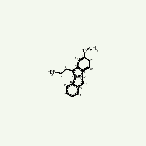 COC1=Nc2c(CCN)c3c4ccccc4cn3c2=CC1